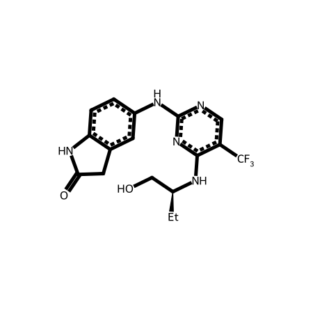 CC[C@@H](CO)Nc1nc(Nc2ccc3c(c2)CC(=O)N3)ncc1C(F)(F)F